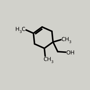 CC1=CCC(C)(CO)C(C)C1